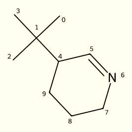 CC(C)(C)C1C=NCCC1